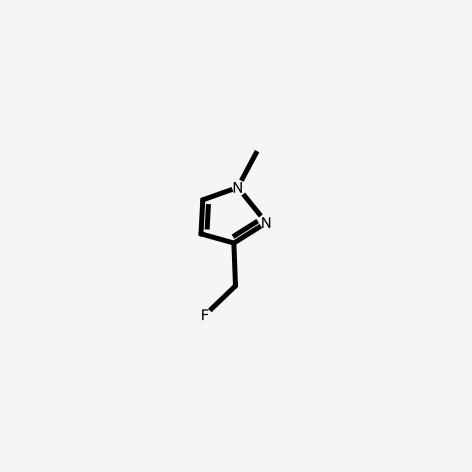 Cn1ccc(CF)n1